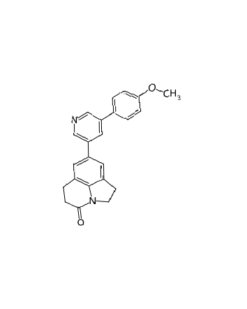 COc1ccc(-c2cncc(-c3cc4c5c(c3)CCN5C(=O)CC4)c2)cc1